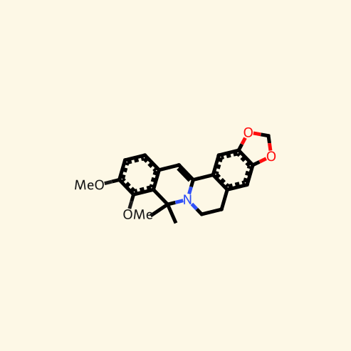 COc1ccc2c(c1OC)C(C)(C)N1CCc3cc4c(cc3C1=C2)OCO4